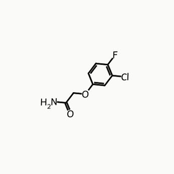 NC(=O)COc1ccc(F)c(Cl)c1